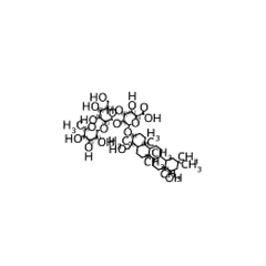 C[C@@H]1OC(O[C@H]2C(O[C@H]3C(O[C@H]4CC[C@@]5(C)C(CC[C@]6(C)C5CC=C5C7CC(C)(C)C[C@@H](O)[C@]7(C)CC[C@]56C)[C@@]4(C)CO)O[C@H](C(=O)O)[C@@H](O)[C@@H]3O)O[C@H](CO)[C@H](O)[C@@H]2O)[C@H](O)[C@H](O)[C@H]1O